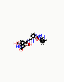 O=C(Nc1cccc(CCNCC(O)c2ccc(O)c3[nH]c(=O)ccc23)c1)NC1CC2CC3CC3(C2)C1